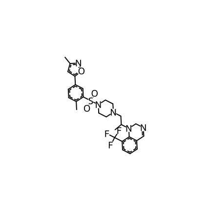 Cc1cc(-c2ccc(C)c(S(=O)(=O)N3CCN(CC(C)N4CN=Cc5cccc(C(F)(F)F)c54)CC3)c2)on1